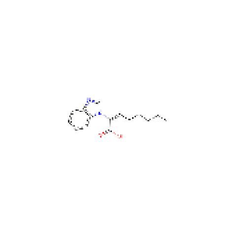 CCCCCC=C(C(=O)O)n1cnc2ccccc21